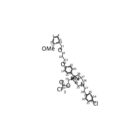 COc1ccccc1COCCCOc1ccc(C2=C(COC(=O)C(F)(F)F)C3CN(CCc4ccc(Cl)cc4)CC(C2)N3)cc1